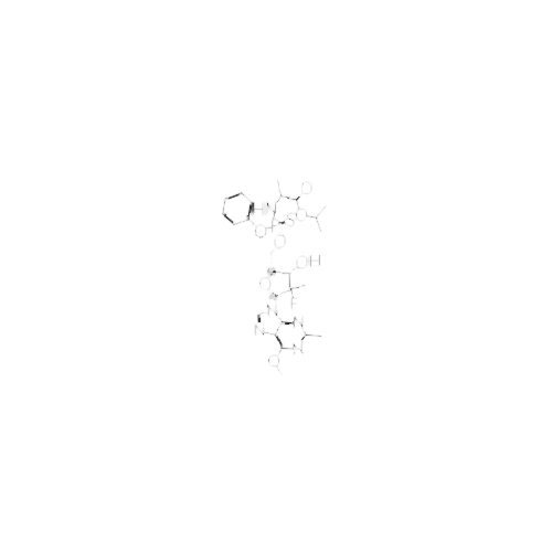 COc1nc(C)nc2c1ncn2[C@@H]1O[C@H](COP(=S)(NC(C)C(=O)OC(C)C)Oc2ccccc2)C(O)C1(C)F